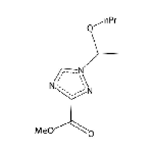 CCCOC(C)n1cnc(C(=O)OC)n1